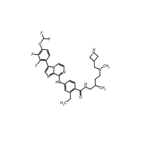 CCc1cc(Nc2nccn3c(-c4ccc(OC(F)F)c(F)c4F)cnc23)ccc1C(=O)NCC(C)CCN(C)CC1CNC1